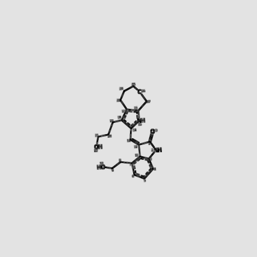 O=C1Nc2cccc(CCO)c2/C1=C/c1[nH]c2c(c1CCCO)CCCCC2